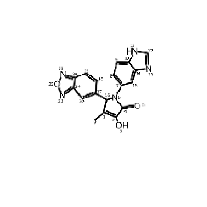 CC1=C(O)C(=O)N(c2ccc3[nH]cnc3c2)C1c1ccc2nonc2c1